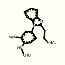 CNc1cc(-n2c(CCNC(C)=O)nc3ccccc32)ccc1NC=O